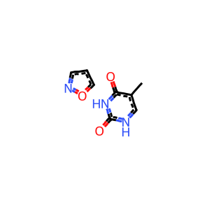 Cc1c[nH]c(=O)[nH]c1=O.c1cnoc1